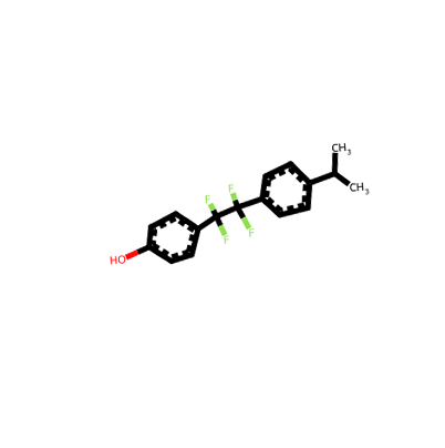 CC(C)c1ccc(C(F)(F)C(F)(F)c2ccc(O)cc2)cc1